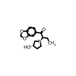 CCC(C(=O)c1ccc2c(c1)OCO2)N1CC[C@H](O)C1